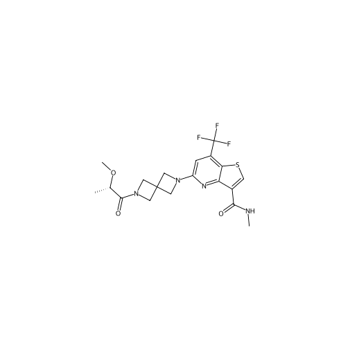 CNC(=O)c1csc2c(C(F)(F)F)cc(N3CC4(CN(C(=O)[C@H](C)OC)C4)C3)nc12